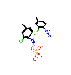 Cc1ccc([N+]#N)c(Cl)c1.Cc1ccc([N+]#N)c(Cl)c1.O=S(=O)([O-])[O-]